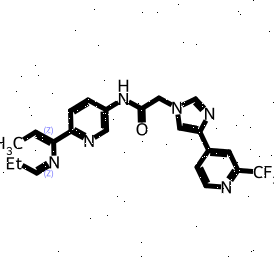 C/C=C(\N=C/CC)c1ccc(NC(=O)Cn2cnc(-c3ccnc(C(F)(F)F)c3)c2)cn1